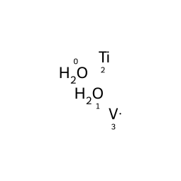 O.O.[Ti].[V]